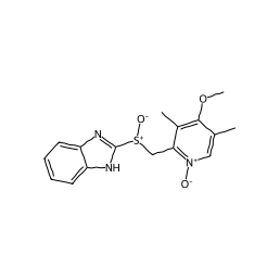 COc1c(C)c[n+]([O-])c(C[S+]([O-])c2nc3ccccc3[nH]2)c1C